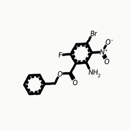 Nc1c(C(=O)OCc2ccccc2)c(F)cc(Br)c1[N+](=O)[O-]